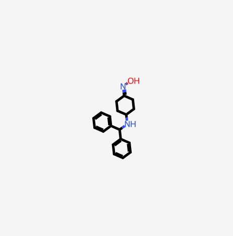 ON=C1CCC(NC(c2ccccc2)c2ccccc2)CC1